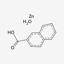 O.O=C(O)c1ccc2ccccc2c1.[Zn]